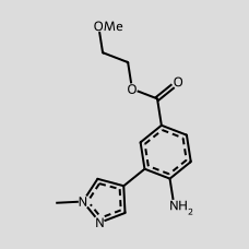 COCCOC(=O)c1ccc(N)c(-c2cnn(C)c2)c1